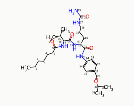 CCCCCCC(=O)N[C@H](C(=O)N[C@@H](CCCNC(N)=O)C(=O)Nc1ccc(COC(C)C)cc1)C(C)C